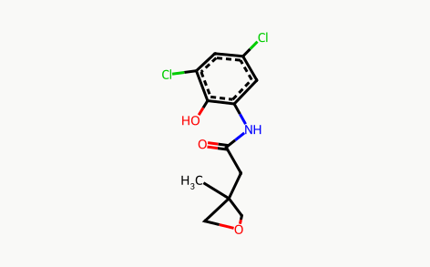 CC1(CC(=O)Nc2cc(Cl)cc(Cl)c2O)COC1